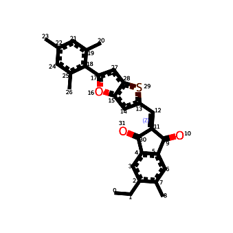 CCc1cc2c(cc1C)C(=O)/C(=C/c1cc3oc(-c4c(C)cc(C)cc4C)cc3s1)C2=O